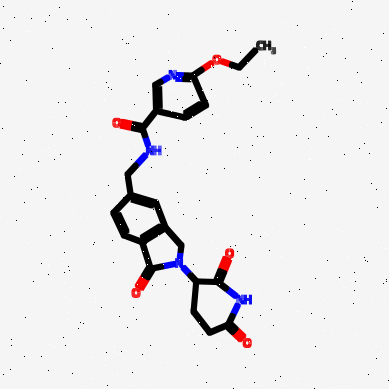 CCOc1ccc(C(=O)NCc2ccc3c(c2)CN(C2CCC(=O)NC2=O)C3=O)cn1